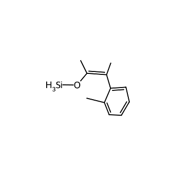 CC(O[SiH3])=C(C)c1ccccc1C